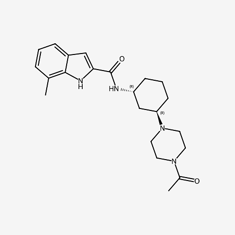 CC(=O)N1CCN([C@@H]2CCC[C@@H](NC(=O)c3cc4cccc(C)c4[nH]3)C2)CC1